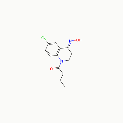 CCCC(=O)N1CCC(=NO)c2cc(Cl)ccc21